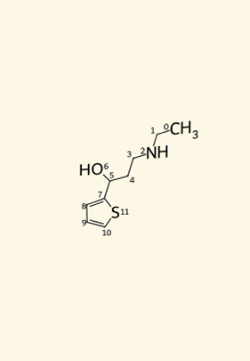 CCNCCC(O)c1cccs1